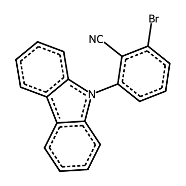 N#Cc1c(Br)cccc1-n1c2ccccc2c2ccccc21